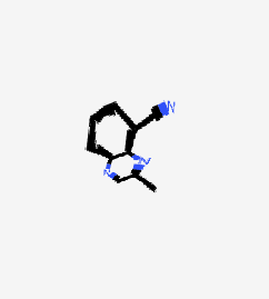 Cc1cnc2cccc(C#N)c2n1